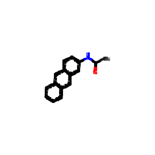 CC(C)(C)C(=O)Nc1ccc2cc3ccccc3cc2c1